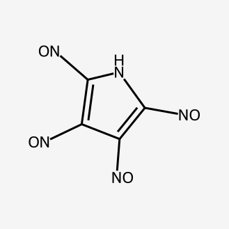 O=Nc1[nH]c(N=O)c(N=O)c1N=O